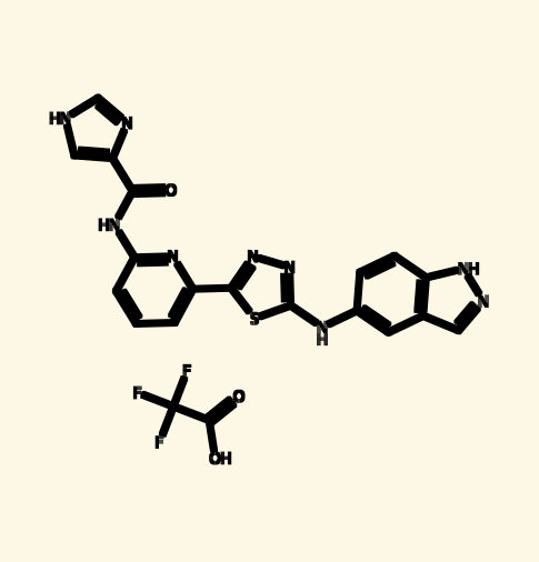 O=C(Nc1cccc(-c2nnc(Nc3ccc4[nH]ncc4c3)s2)n1)c1c[nH]cn1.O=C(O)C(F)(F)F